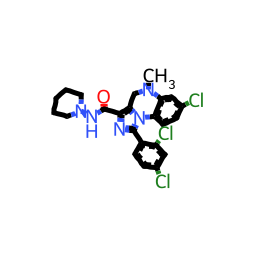 CN1Cc2c(C(=O)NN3CCCCC3)nc(-c3ccc(Cl)cc3Cl)n2-c2ccc(Cl)cc21